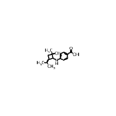 CC(C)=C1CC(C)(C)C1Nc1ccc(C(=O)O)cc1